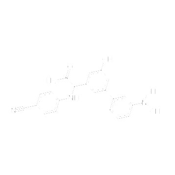 Cc1cc(-c2cccc(N(C)C)c2)cc(C(Nc2ccc(C#N)cc2)C(=O)O)c1